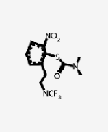 CN(C)C(=O)Sc1c(CCNC(F)(F)F)cccc1[N+](=O)[O-]